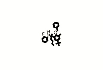 CCCCC(C)(Pc1ccccc1F)c1cc(C(C)(C)C)cc(C)c1OCc1ccccc1